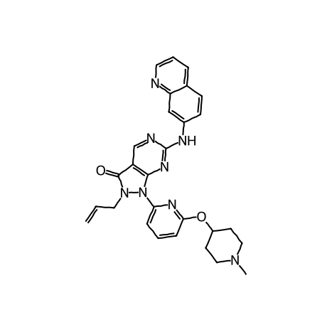 C=CCn1c(=O)c2cnc(Nc3ccc4cccnc4c3)nc2n1-c1cccc(OC2CCN(C)CC2)n1